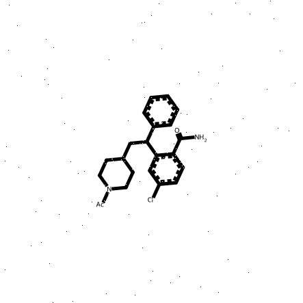 CC(=O)N1CCC(CC(c2ccccc2)c2cc(Cl)ccc2C(N)=O)CC1